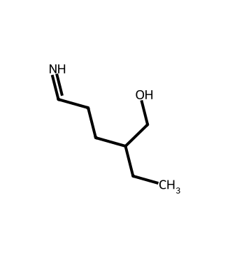 CCC(CO)CCC=N